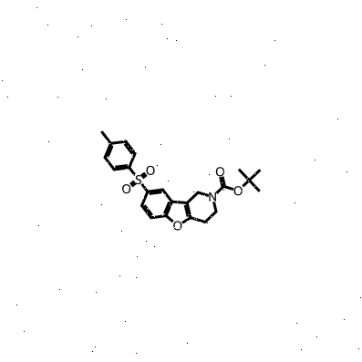 Cc1ccc(S(=O)(=O)c2ccc3oc4c(c3c2)CN(C(=O)OC(C)(C)C)CC4)cc1